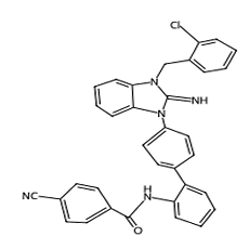 N#Cc1ccc(C(=O)Nc2ccccc2-c2ccc(-n3c(=N)n(Cc4ccccc4Cl)c4ccccc43)cc2)cc1